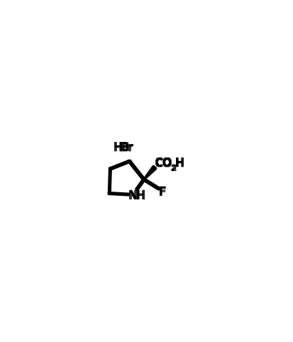 Br.O=C(O)[C@]1(F)CCCN1